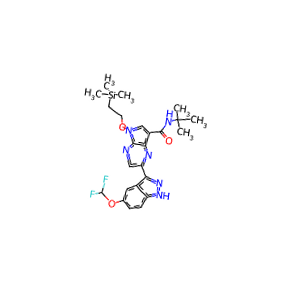 CC(C)(C)NC(=O)c1cn(OCC[Si](C)(C)C)c2ncc(-c3n[nH]c4ccc(OC(F)F)cc34)nc12